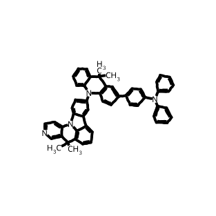 CC1(C)c2ccccc2N(c2ccc3c(c2)c2cccc4c2n3-c2ccncc2C4(C)C)c2ccc(-c3ccc(N(c4ccccc4)c4ccccc4)cc3)cc21